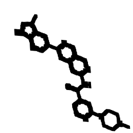 Cc1c[nH]c2ncc(-c3cc4cc(NC(=O)c5ccnc(N6CCN(C)CC6)c5)ncc4cn3)cc12